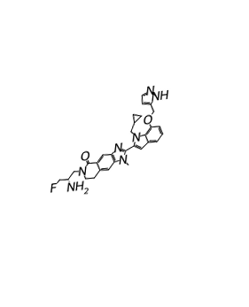 Cn1c(-c2cc3cccc(OCc4ccn[nH]4)c3n2CC2CC2)nc2cc3c(cc21)CCN(C[C@H](N)CF)C3=O